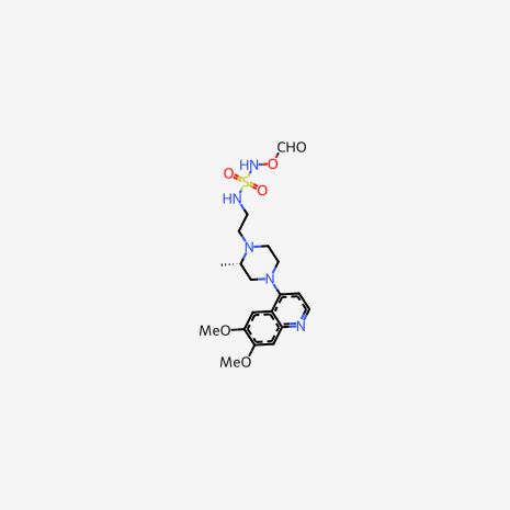 COc1cc2nccc(N3CCN(CCNS(=O)(=O)NOC=O)[C@@H](C)C3)c2cc1OC